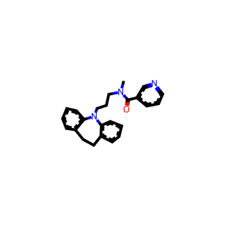 CN(CCCN1c2ccccc2CCc2ccccc21)C(=O)c1cccnc1